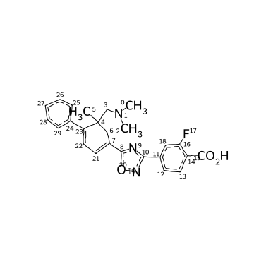 CN(C)CC1(C)CC(c2nc(-c3ccc(C(=O)O)c(F)c3)no2)=CC=C1c1ccccc1